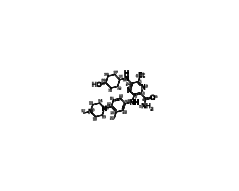 CCc1nc(C(N)=O)c(Nc2ccc(N3CCN(C)CC3)c(C)c2)nc1NC1CCC(O)CC1